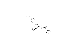 CC(=O)NC1CCN(c2cc(NC(=O)C3CC3c3ccncc3)nc3cc(C)nn23)CC1